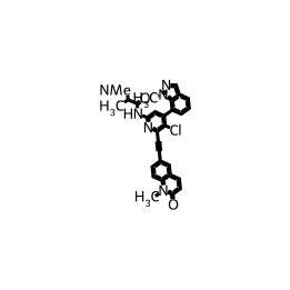 CNC(C)C(=O)Nc1cc(-c2cccc3cnn(C)c23)c(Cl)c(C#Cc2ccc3c(ccc(=O)n3C)c2)n1